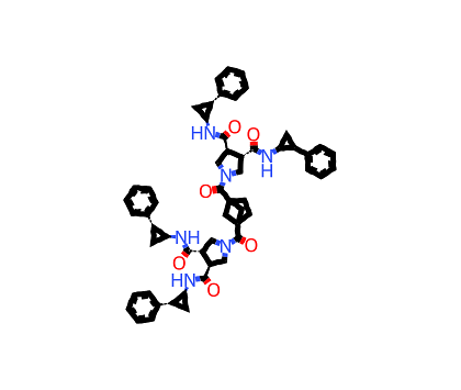 O=C(NC1CC1c1ccccc1)[C@@H]1CN(C(=O)C23CCC(C(=O)N4C[C@@H](C(=O)N[C@H]5C[C@@H]5c5ccccc5)[C@H](C(=O)N[C@H]5C[C@@H]5c5ccccc5)C4)(C2)C3)C[C@H]1C(=O)N[C@H]1C[C@@H]1c1ccccc1